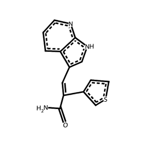 NC(=O)/C(=C/c1c[nH]c2ncccc12)c1ccsc1